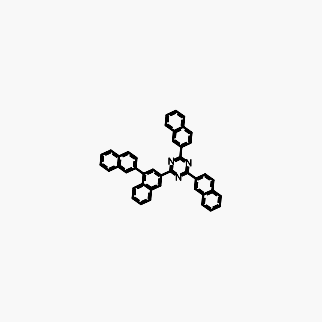 c1ccc2cc(-c3nc(-c4ccc5ccccc5c4)nc(-c4cc(-c5ccc6ccccc6c5)c5ccccc5c4)n3)ccc2c1